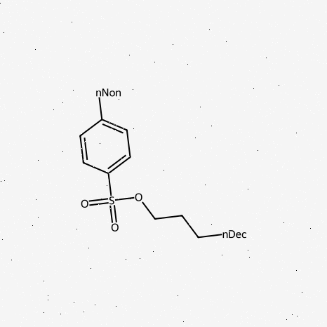 CCCCCCCCCCCCCOS(=O)(=O)c1ccc(CCCCCCCCC)cc1